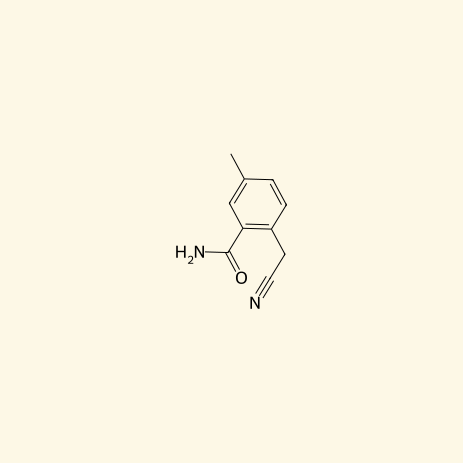 Cc1ccc(CC#N)c(C(N)=O)c1